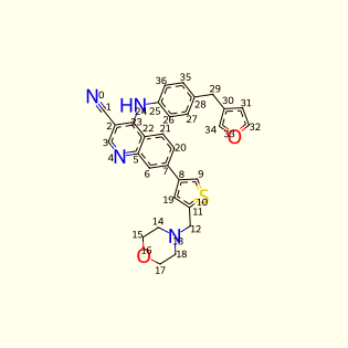 N#Cc1cnc2cc(-c3csc(CN4CCOCC4)c3)ccc2c1Nc1ccc(Cc2ccoc2)cc1